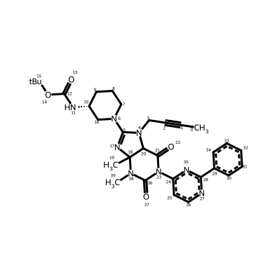 CC#CCN1C(N2CCC[C@@H](NC(=O)OC(C)(C)C)C2)=NC2(C)C1C(=O)N(c1ccnc(-c3ccccc3)n1)C(=O)N2C